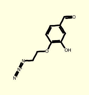 [N-]=[N+]=NCCOc1ccc(C=O)cc1O